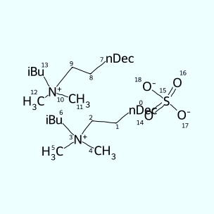 CCCCCCCCCCCC[N+](C)(C)C(C)CC.CCCCCCCCCCCC[N+](C)(C)C(C)CC.O=S(=O)([O-])[O-]